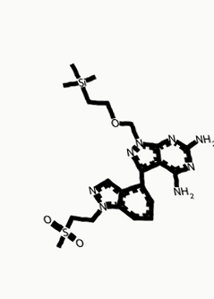 C[Si](C)(C)CCOCn1nc(-c2cccc3c2cnn3CCS(C)(=O)=O)c2c(N)nc(N)nc21